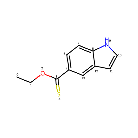 CCOC(=S)c1ccc2[nH]ccc2c1